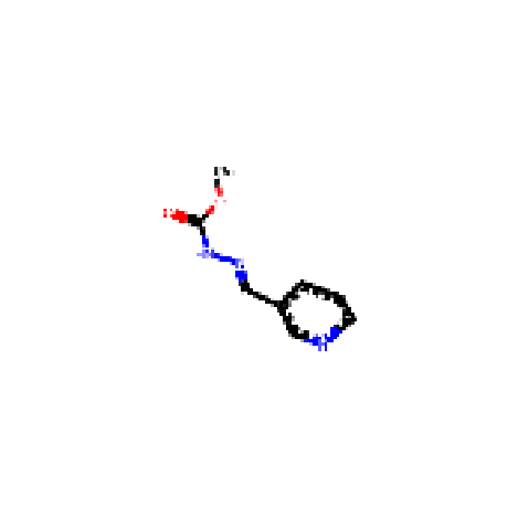 CC(C)(C)OC(=O)NN=Cc1cccnc1